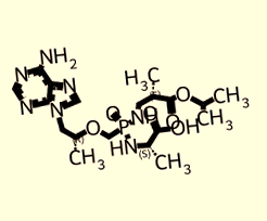 CC(C)OC(=O)[C@@H](C)CNP(=O)(CO[C@H](C)Cn1cnc2c(N)ncnc21)N[C@@H](C)C(=O)O